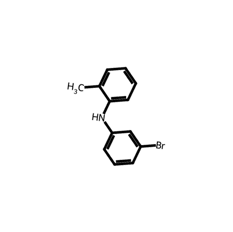 Cc1ccccc1Nc1cccc(Br)c1